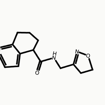 O=C(NCC1=NOCC1)C1CCCc2ccccc21